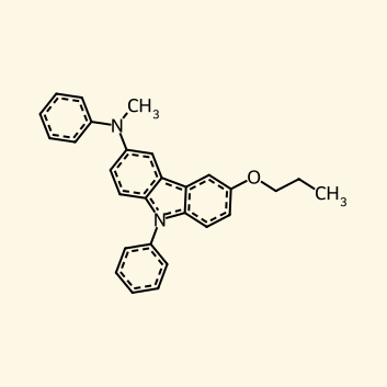 CCCOc1ccc2c(c1)c1cc(N(C)c3ccccc3)ccc1n2-c1ccccc1